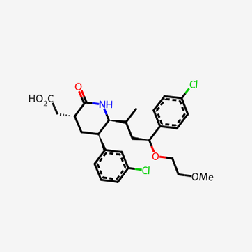 COCCO[C@@H](CC(C)[C@@H]1NC(=O)[C@@H](CC(=O)O)C[C@@H]1c1cccc(Cl)c1)c1ccc(Cl)cc1